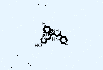 Cc1c(-c2[nH]c3cc(F)ccc3c2CC2CC(O)CN2C=O)[nH]c2cc(F)ccc12